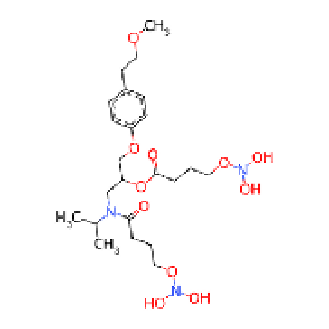 COCCc1ccc(OCC(CN(C(=O)CCCON(O)O)C(C)C)OC(=O)CCCON(O)O)cc1